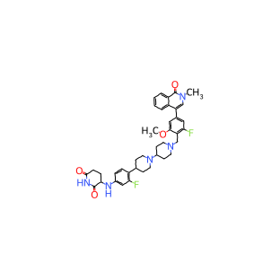 COc1cc(-c2cn(C)c(=O)c3ccccc23)cc(F)c1CN1CCC(N2CCC(c3ccc(NC4CCC(=O)NC4=O)cc3F)CC2)CC1